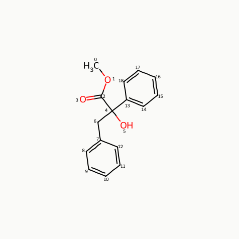 COC(=O)C(O)(Cc1ccccc1)c1ccccc1